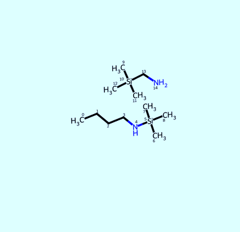 CCCCN[Si](C)(C)C.C[Si](C)(C)CN